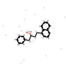 OC(CCc1cccc2ccccc12)Cc1ccccc1